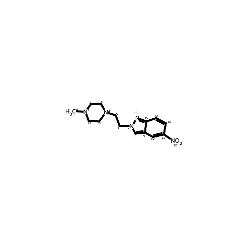 CN1CCN(CCn2cc3cc([N+](=O)[O-])ccc3n2)CC1